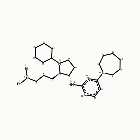 CCN(CC)CCC[C@@H]1[C@@H](Nc2nccc(N3CCCCCC3)n2)CCN1C1CCCCC1